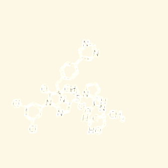 CC(C)(CO)NC(=O)[C@@H]1CCCN1S(=O)(=O)c1cnc2n1[C@](C)(Cc1ccc(-c3cncnc3)cc1)C(=O)N2c1cc(Cl)cc(Cl)c1